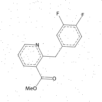 COC(=O)c1cccnc1Cc1ccc(F)c(F)c1